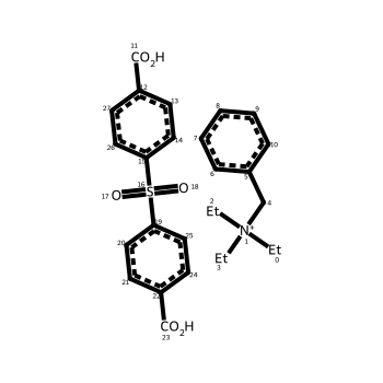 CC[N+](CC)(CC)Cc1ccccc1.O=C(O)c1ccc(S(=O)(=O)c2ccc(C(=O)O)cc2)cc1